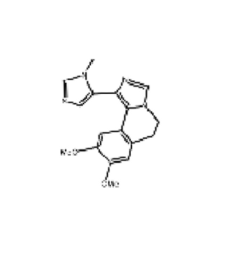 COc1cc2c(cc1OC)-c1c(-c3cncn3C)ncn1CC2